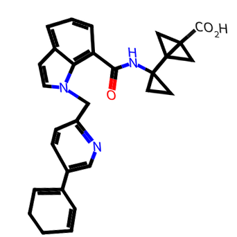 O=C(NC1(C23CC2(C(=O)O)C3)CC1)c1cccc2ccn(Cc3ccc(C4=CCCC=C4)cn3)c12